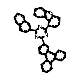 c1ccc2cc(-c3nc(-c4ccc5c6ccccc6c6ccccc6c5c4)nc(-c4cccc5sc6ccccc6c45)n3)ccc2c1